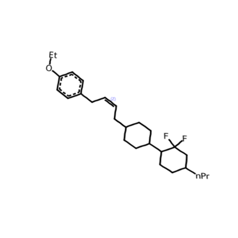 CCCC1CCC(C2CCC(C/C=C\Cc3ccc(OCC)cc3)CC2)C(F)(F)C1